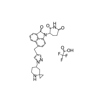 O=C(O)C(F)(F)F.O=C1CCC(N2C(=O)c3cccc4c(Cc5cnn(C6CCNC7(CC7)C6)c5)ccc2c34)C(=O)N1